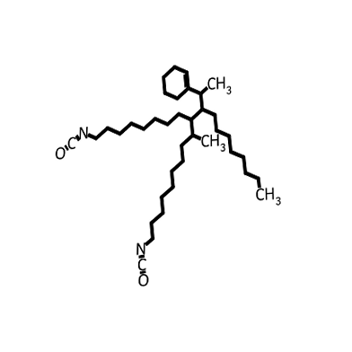 CCCCCCCCC(C(C)C1=CCCCC1)C(CCCCCCCCN=C=O)C(C)CCCCCCCCN=C=O